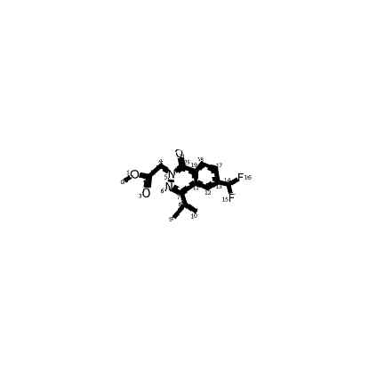 COC(=O)Cn1nc(C(C)C)c2cc(C(F)F)ccc2c1=O